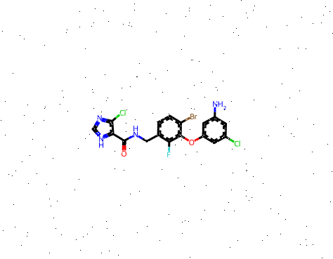 Nc1cc(Cl)cc(Oc2c(Br)ccc(CNC(=O)c3[nH]cnc3Cl)c2F)c1